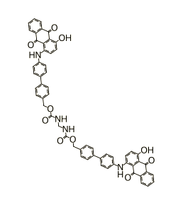 O=C(NCNC(=O)OCc1ccc(-c2ccc(Nc3ccc(O)c4c3C(=O)c3ccccc3C4=O)cc2)cc1)OCc1ccc(-c2ccc(Nc3ccc(O)c4c3C(=O)c3ccccc3C4=O)cc2)cc1